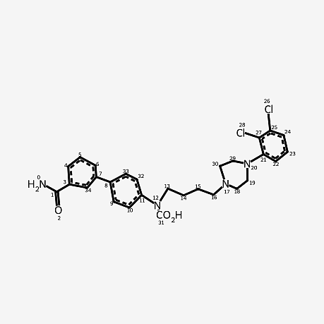 NC(=O)c1cccc(-c2ccc(N(CCCCN3CCN(c4cccc(Cl)c4Cl)CC3)C(=O)O)cc2)c1